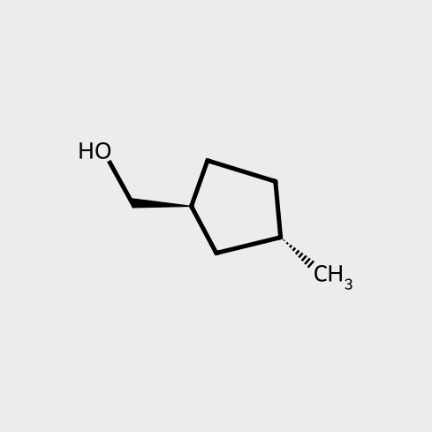 C[C@H]1CC[C@H](CO)C1